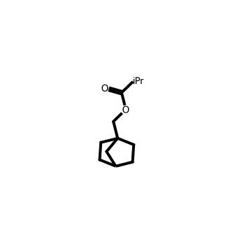 CC(C)C(=O)OCC12CCC(CC1)C2